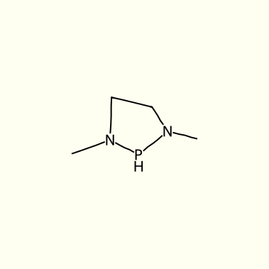 CN1CCN(C)P1